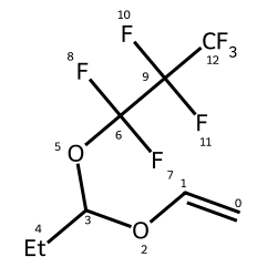 C=COC(CC)OC(F)(F)C(F)(F)C(F)(F)F